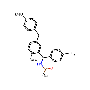 COc1ccc(Cc2ccc(OC)c(C(N[S@@+]([O-])C(C)(C)C)c3ccc(C)cc3)c2)cc1